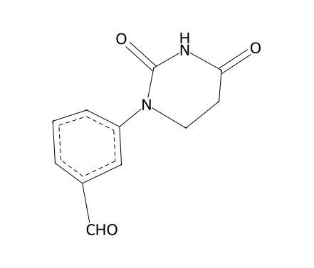 O=Cc1cccc(N2CCC(=O)NC2=O)c1